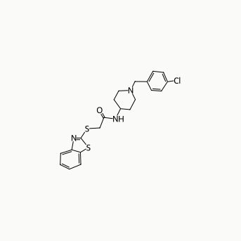 O=C(CSc1nc2ccccc2s1)NC1CCN(Cc2ccc(Cl)cc2)CC1